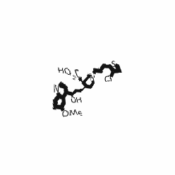 COc1ccc2nccc([C@H](O)CC[C@@H]3CCN(CCCc4sccc4Cl)C[C@@H]3CC(=O)O)c2c1